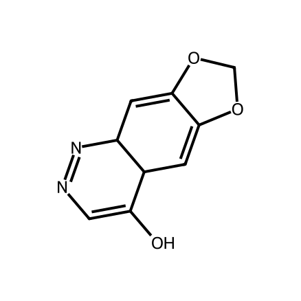 OC1=CN=NC2C=C3OCOC3=CC12